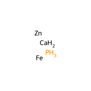 P.[CaH2].[Fe].[Zn]